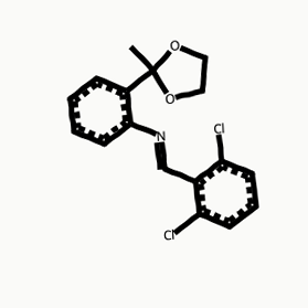 CC1(c2ccccc2/N=C/c2c(Cl)cccc2Cl)OCCO1